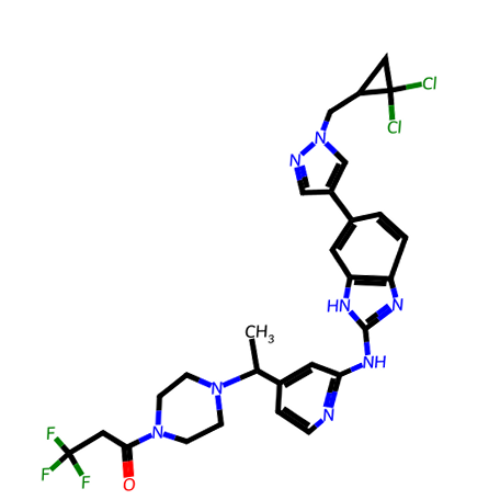 CC(c1ccnc(Nc2nc3ccc(-c4cnn(CC5CC5(Cl)Cl)c4)cc3[nH]2)c1)N1CCN(C(=O)CC(F)(F)F)CC1